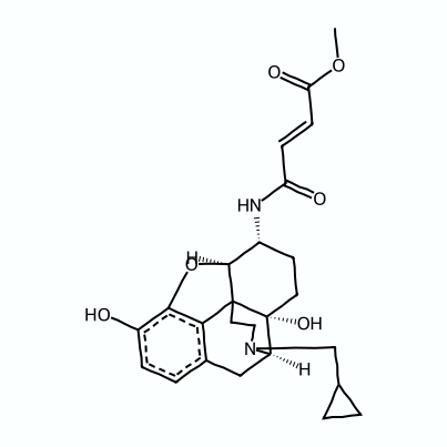 COC(=O)/C=C/C(=O)N[C@@H]1CC[C@@]2(O)[C@H]3Cc4ccc(O)c5c4C2(CCN3CC2CC2)[C@H]1O5